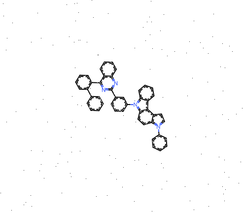 c1ccc(-c2ccccc2-c2nc(-c3cccc(-n4c5ccccc5c5c6ccn(-c7ccccc7)c6ccc54)c3)nc3ccccc23)cc1